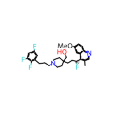 COc1ccc2ncc(C)c([C@@H](F)CCC3(CO)CCN(CCCc4cc(F)cc(F)c4F)CC3)c2c1